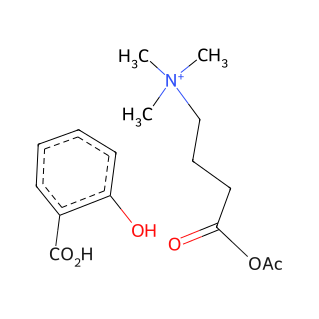 CC(=O)OC(=O)CCC[N+](C)(C)C.O=C(O)c1ccccc1O